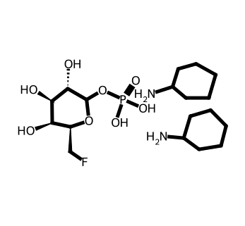 NC1CCCCC1.NC1CCCCC1.O=P(O)(O)OC1O[C@@H](CF)[C@@H](O)[C@@H](O)[C@@H]1O